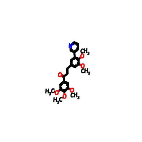 COc1cc(C(=O)C=Cc2cc(OC)c(OC)c(-c3cccnc3)c2)cc(OC)c1OC